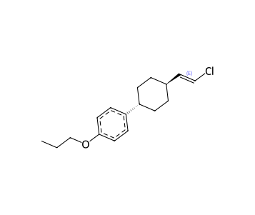 CCCOc1ccc([C@H]2CC[C@H](/C=C/Cl)CC2)cc1